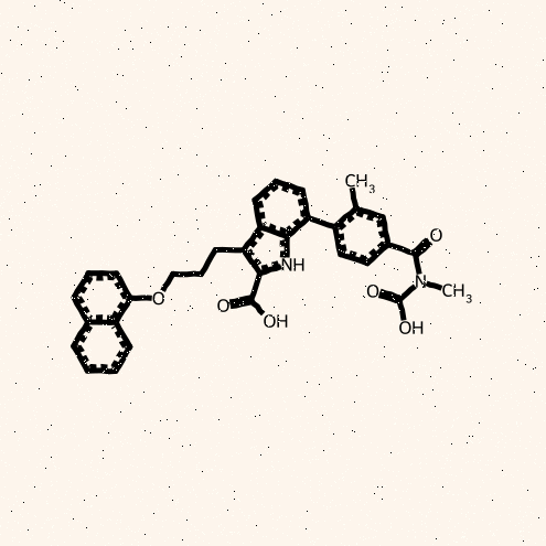 Cc1cc(C(=O)N(C)C(=O)O)ccc1-c1cccc2c(CCCOc3cccc4ccccc34)c(C(=O)O)[nH]c12